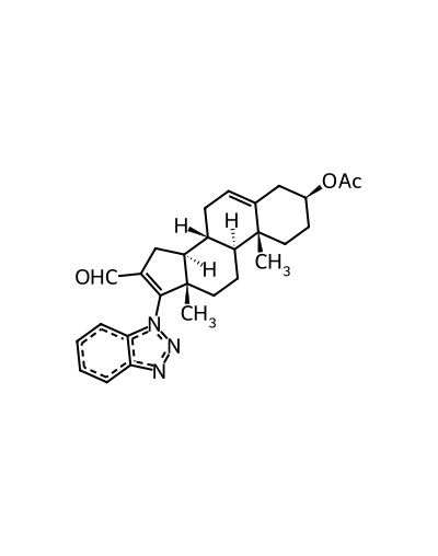 CC(=O)O[C@H]1CC[C@@]2(C)C(=CC[C@@H]3[C@@H]2CC[C@]2(C)C(n4nnc5ccccc54)=C(C=O)C[C@@H]32)C1